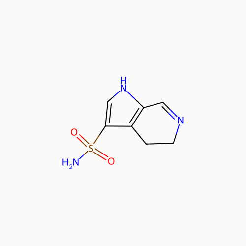 NS(=O)(=O)c1c[nH]c2c1CCN=C2